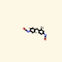 CCc1cc(N=C=O)ccc1Cc1ccc(N=C=O)cc1